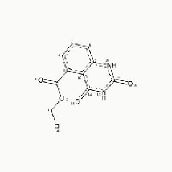 O=C(OCCl)c1cccc2[nH]c(=O)[nH]c(=O)c12